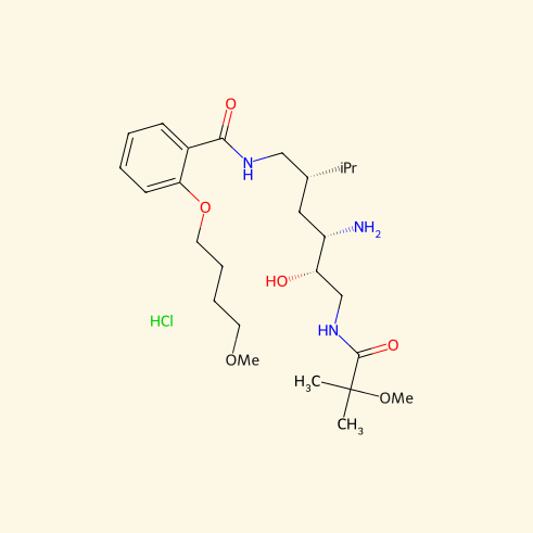 COCCCCOc1ccccc1C(=O)NC[C@@H](C[C@H](N)[C@@H](O)CNC(=O)C(C)(C)OC)C(C)C.Cl